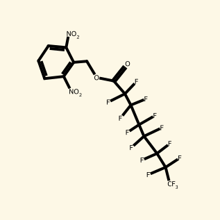 O=C(OCc1c([N+](=O)[O-])cccc1[N+](=O)[O-])C(F)(F)C(F)(F)C(F)(F)C(F)(F)C(F)(F)C(F)(F)C(F)(F)F